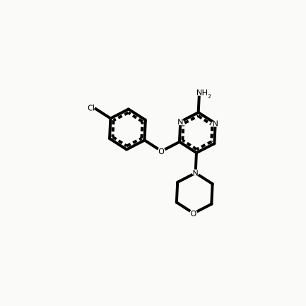 Nc1ncc(N2CCOCC2)c(Oc2ccc(Cl)cc2)n1